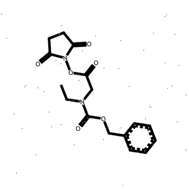 CCN(CC(=O)ON1C(=O)CCC1=O)C(=O)OCc1ccccc1